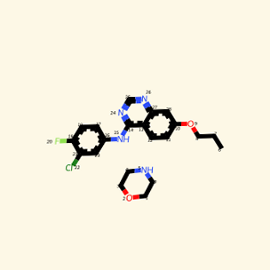 C1COCCN1.CCCOc1ccc2c(Nc3ccc(F)c(Cl)c3)ncnc2c1